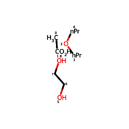 CC(=O)O.CCCOCCC.OCCO